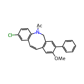 COc1cc2c(cc1-c1ccccc1)CN(C(C)=O)c1ccc(Cl)cc1C=C2